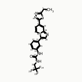 CCc1nnc(-c2ccn3c(-c4cccc(NC(=O)NCC(F)(F)F)c4)cnc3c2)s1